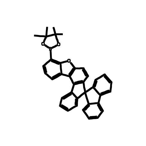 CC1(C)OB(c2cccc3c2oc2ccc4c(c23)-c2ccccc2C42c3ccccc3-c3ccccc32)OC1(C)C